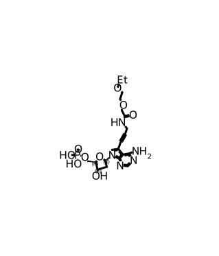 CCOCCOCC(=O)NCC#Cc1cn([C@H]2C[C@@H](O)[C@@H](COP(=O)(O)O)O2)c2ncnc(N)c12